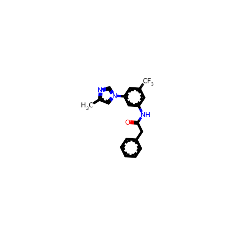 Cc1cn(-c2cc(NC(=O)Cc3ccccc3)cc(C(F)(F)F)c2)cn1